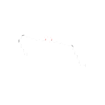 CCCCC/C=C\C/C=C\CCCCCCCC(=O)OC(=O)CCCCCCC/C=C\CCCCCCCC